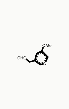 COc1cncc(CC=O)c1